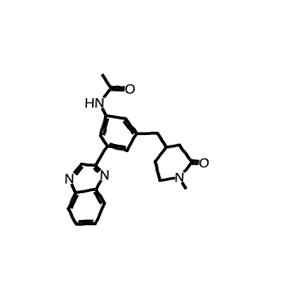 CC(=O)Nc1cc(CC2CCN(C)C(=O)C2)cc(-c2cnc3ccccc3n2)c1